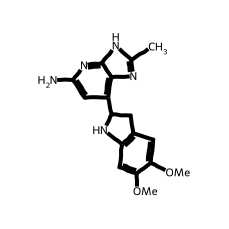 COc1cc2c(cc1OC)NC(c1cc(N)nc3[nH]c(C)nc13)C2